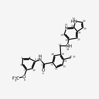 O=C(Nc1cccc(OC(F)(F)F)c1)c1ccc(F)c(CNc2cnc3[nH]ccc3c2)c1